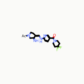 CC(=O)N1CC/C(=C/Nc2ccc(C(=O)N3CCC(F)(F)CC3)cn2)C(=N)C1